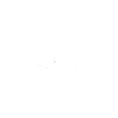 CCO[Si](OCC)(OCC)OC(=O)CCS